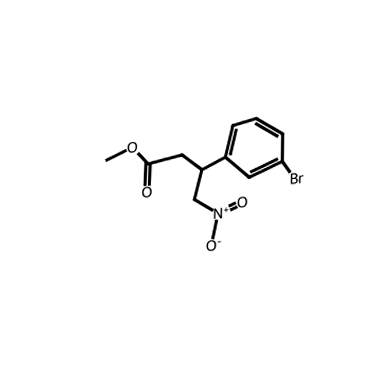 COC(=O)CC(C[N+](=O)[O-])c1cccc(Br)c1